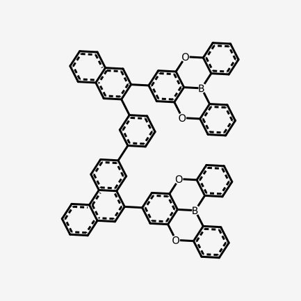 c1cc(-c2ccc3c(c2)c(-c2cc4c5c(c2)Oc2ccccc2B5c2ccccc2O4)cc2ccccc23)cc(-c2cc3ccccc3cc2-c2cc3c4c(c2)Oc2ccccc2B4c2ccccc2O3)c1